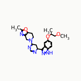 COC[C@H](C)Oc1ccc2[nH]nc(C3CC(N4CCc5oc(C)nc5C4)=NC=N3)c2c1